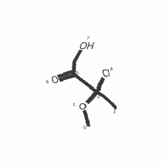 COC(C)(Cl)C(=O)O